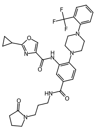 O=C(NCCCN1CCCC1=O)c1ccc(N2CCN(c3ccccc3C(F)(F)F)CC2)c(NC(=O)c2coc(C3CC3)n2)c1